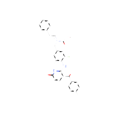 CC(C)(C)OC(=O)N(Cc1cc(F)c(Nc2[nH]c(=O)ccc2C(=O)c2ccc(F)cc2)c(F)c1)[C@@H](Cc1ccccc1)C(=O)O